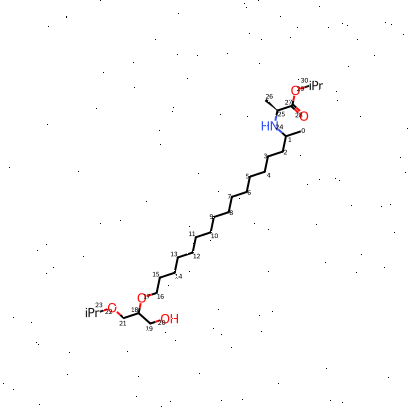 CC(CCCCCCCCCCCCCCCOC(CO)COC(C)C)N[C@@H](C)C(=O)OC(C)C